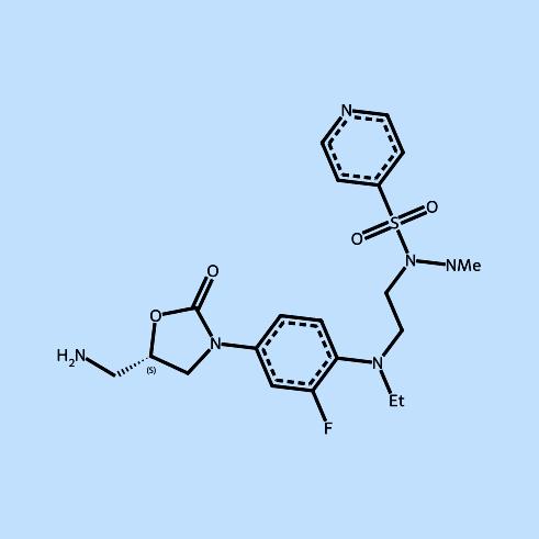 CCN(CCN(NC)S(=O)(=O)c1ccncc1)c1ccc(N2C[C@H](CN)OC2=O)cc1F